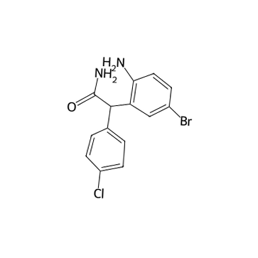 NC(=O)C(c1ccc(Cl)cc1)c1cc(Br)ccc1N